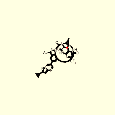 CC(=O)c1nn2c3c(cc(-c4cnc5cc(C6CC6)nn5c4)cc13)CCCCCCC(=O)NC[C@@]13C[C@@H](C(=O)Nc4nc(C(F)(F)F)ccc4C)N(C(=O)C2)C1C3C